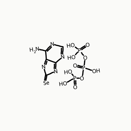 Nc1ncnc2c1=NC(=[Se])N=2.O=P(O)(O)OP(=O)(O)OP(=O)(O)O